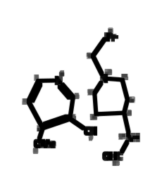 COc1ccncc1C#N.C[C](C)CN1CCC(NC=O)CC1